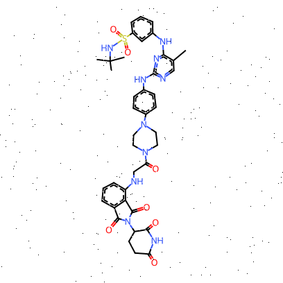 Cc1cnc(Nc2ccc(N3CCN(C(=O)CNc4cccc5c4C(=O)N(C4CCC(=O)NC4=O)C5=O)CC3)cc2)nc1Nc1cccc(S(=O)(=O)NC(C)(C)C)c1